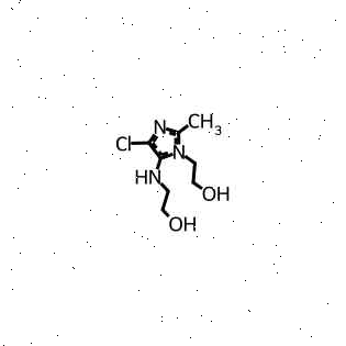 Cc1nc(Cl)c(NCCO)n1CCO